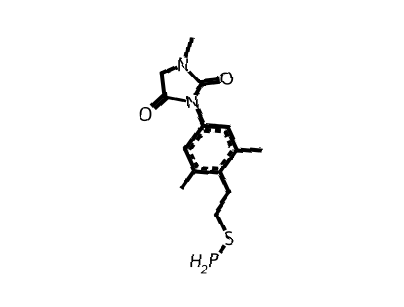 Cc1cc(N2C(=O)CN(C)C2=O)cc(C)c1CCSP